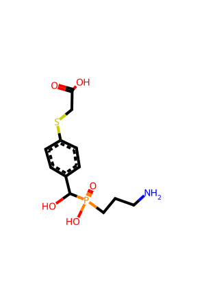 NCCCP(=O)(O)C(O)c1ccc(SCC(=O)O)cc1